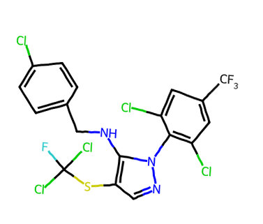 FC(Cl)(Cl)Sc1cnn(-c2c(Cl)cc(C(F)(F)F)cc2Cl)c1NCc1ccc(Cl)cc1